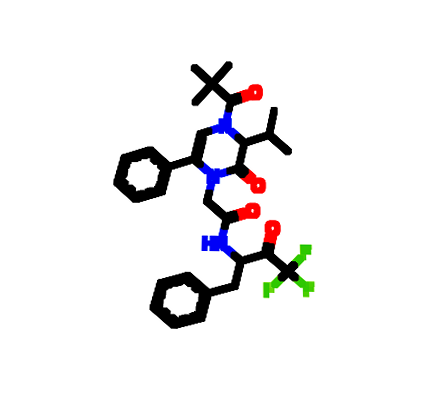 CC(C)C1C(=O)N(CC(=O)NC(Cc2ccccc2)C(=O)C(F)(F)F)C(c2ccccc2)=CN1C(=O)C(C)(C)C